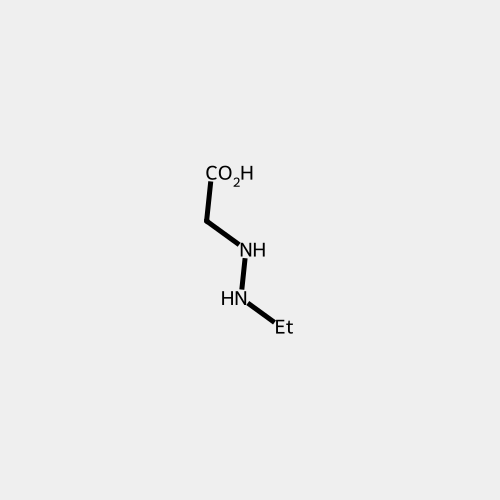 CCNNCC(=O)O